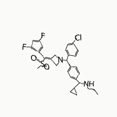 CCCNC(c1ccc(C(c2ccc(Cl)cc2)N2CC(=C(c3cc(F)cc(F)c3)S(C)(=O)=O)C2)cc1)C1CC1